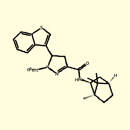 CCCCCN1N=C(C(=O)N[C@H]2C[C@H]3CC[C@]2(C)C3(C)C)CC1c1csc2ccccc12